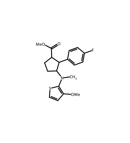 COC(=O)C1CCC(N(C)c2sccc2OC)C1c1ccc(F)cc1